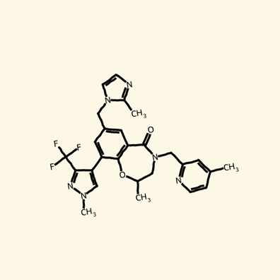 Cc1ccnc(CN2CC(C)Oc3c(cc(Cn4ccnc4C)cc3-c3cn(C)nc3C(F)(F)F)C2=O)c1